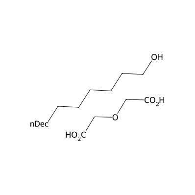 CCCCCCCCCCCCCCCCO.O=C(O)COCC(=O)O